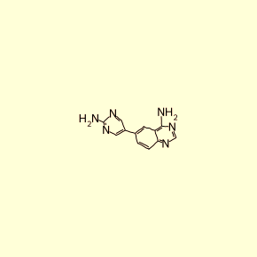 Nc1ncc(-c2ccc3ncnc(N)c3c2)cn1